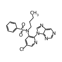 CCCCN(c1cc(Cl)cnc1-n1cnc2cncnc21)S(=O)(=O)c1ccccc1